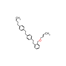 C=CCCc1ccc(CCc2ccc(CCc3ccccc3COCC=CC)cc2)cc1